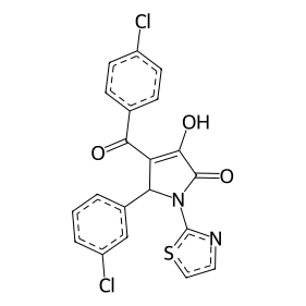 O=C(C1=C(O)C(=O)N(c2nccs2)C1c1cccc(Cl)c1)c1ccc(Cl)cc1